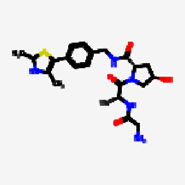 CC1=C(c2ccc(CNC(=O)[C@@H]3C[C@@H](O)CN3C(=O)[C@@H](NC(=O)CN)C(C)(C)C)cc2)SC(C)N1